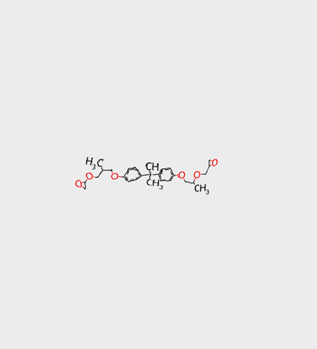 CC(COc1ccc(C(C)(C)c2ccc(OCC(C)OCC3CO3)cc2)cc1)COC1CO1